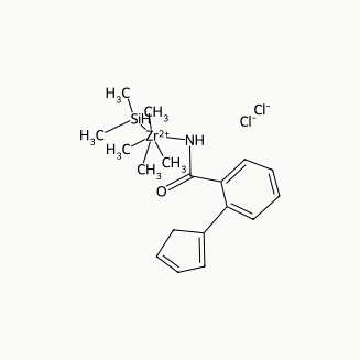 C[SiH](C)[Zr+2]([CH3])([CH3])([CH3])([CH3])[NH]C(=O)c1ccccc1C1=CC=CC1.[Cl-].[Cl-]